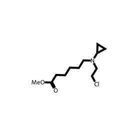 COC(=O)CCCCCN(CCCl)C1CC1